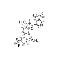 C[C@@H](NC(=O)c1cncc(C2(C)CC2)c1)c1ccc(-c2cc(C(F)(F)F)ccc2CN)cc1